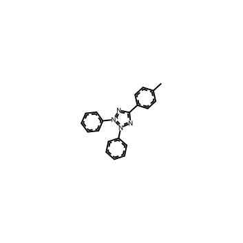 Cc1ccc(-c2nn(-c3ccccc3)[n+](-c3ccccc3)n2)cc1